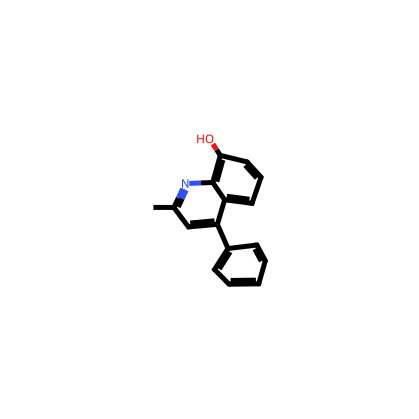 Cc1cc(-c2ccccc2)c2cccc(O)c2n1